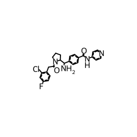 NC(c1ccc(C(=O)Nc2ccncc2)cc1)C1CCCN1C(=O)Cc1ccc(F)cc1Cl